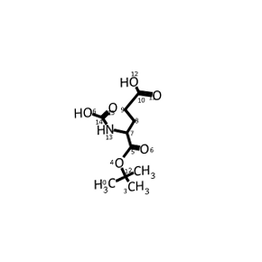 CC(C)(C)OC(=O)C(CCC(=O)O)NC(=O)O